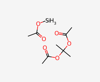 CC(=O)OC(C)(C)OC(C)=O.CC(=O)O[SiH3]